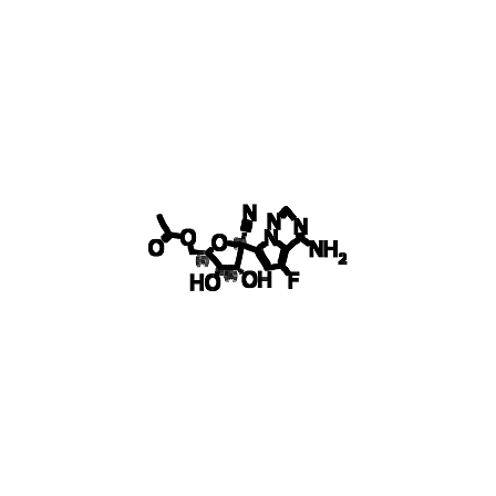 CC(=O)OC[C@H]1O[C@@](C#N)(c2cc(F)c3c(N)ncnn23)[C@H](O)[C@@H]1O